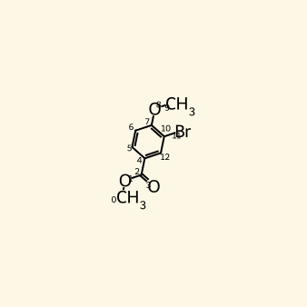 COC(=O)c1ccc(OC)c(Br)c1